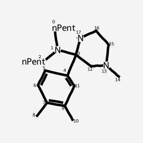 CCCCCN(CCCCC)C1(c2ccc(C)c(C)c2)CN(C)CC[N]1